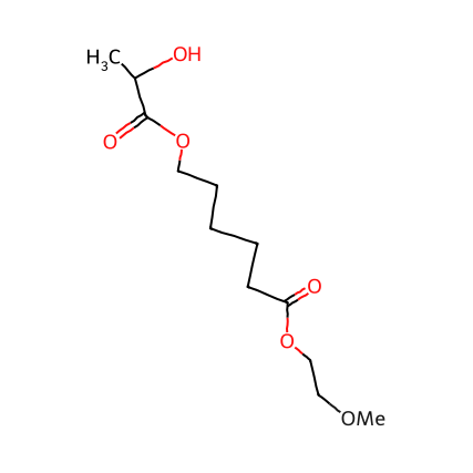 COCCOC(=O)CCCCCOC(=O)C(C)O